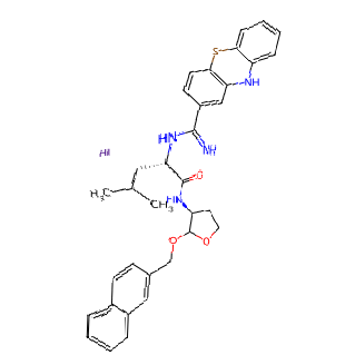 CC(C)C[C@H](NC(=N)c1ccc2c(c1)Nc1ccccc1S2)C(=O)N[C@H]1CCOC1OCc1ccc2ccccc2c1.I